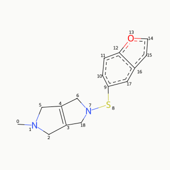 CN1CC2=C(C1)CN(Sc1ccc3occc3c1)C2